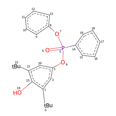 CC(C)(C)c1cc(OP(=O)(Oc2ccccc2)c2ccccc2)cc(C(C)(C)C)c1O